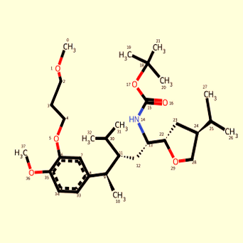 COCCCOc1cc([C@H](C)[C@@H](C[C@H](NC(=O)OC(C)(C)C)[C@@H]2C[C@@H](C(C)C)CO2)C(C)C)ccc1OC